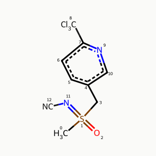 CS(=O)(Cc1ccc(C(Cl)(Cl)Cl)nc1)=NC#N